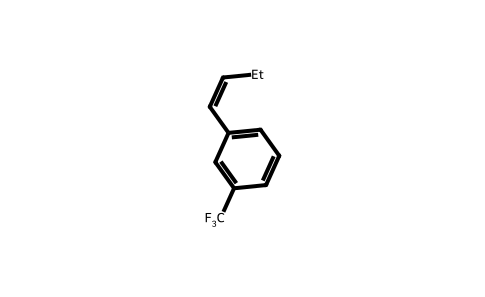 CC/C=C\c1cccc(C(F)(F)F)c1